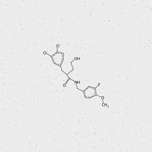 COc1ccc(CNC(=O)C(CCO)Cc2ccc(Cl)c(Cl)c2)cc1F